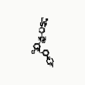 CN1CCN(c2cccc(Cn3cc(-c4nc(-c5ccc(OC(F)(F)F)cc5)no4)ccc3=O)c2)CC1